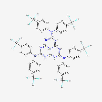 FC(F)(F)c1ccc(N(C2=NC3=NC(N(c4ccc(C(F)(F)F)cc4)c4ccc(C(F)(F)F)cc4)=NC4=NC(N(c5ccc(C(F)(F)F)cc5)c5ccc(C(F)(F)F)cc5)=NC(=N2)N34)c2ccc(C(F)(F)F)cc2)cc1